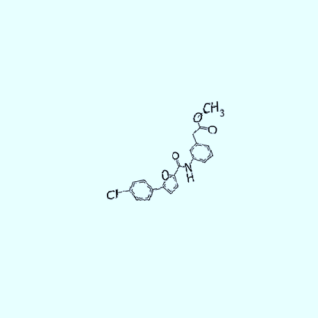 COC(=O)Cc1cccc(NC(=O)c2ccc(-c3ccc(Cl)cc3)o2)c1